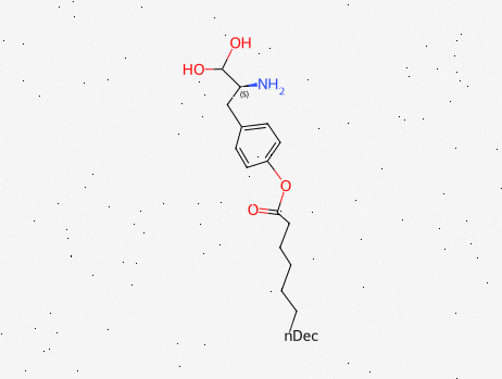 CCCCCCCCCCCCCCCC(=O)Oc1ccc(C[C@H](N)C(O)O)cc1